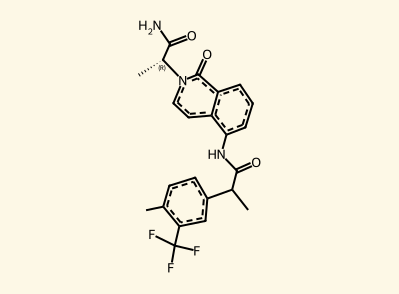 Cc1ccc(C(C)C(=O)Nc2cccc3c(=O)n([C@H](C)C(N)=O)ccc23)cc1C(F)(F)F